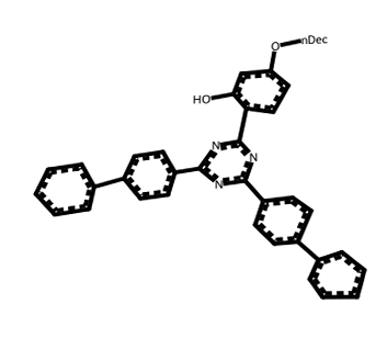 CCCCCCCCCCOc1ccc(-c2nc(-c3ccc(-c4ccccc4)cc3)nc(-c3ccc(-c4ccccc4)cc3)n2)c(O)c1